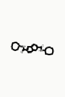 O=C(NC1CCCCCCC1)c1ccc2cc(C(=O)NC3CCCCCCC3)ccc2c1